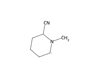 CN1[CH]CCCC1C#N